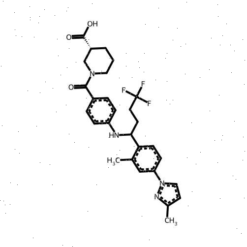 Cc1ccn(-c2ccc(C(CCC(F)(F)F)Nc3ccc(C(=O)N4CCC[C@@H](C(=O)O)C4)cc3)c(C)c2)n1